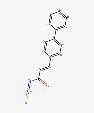 O=C(/C=C/c1ccc(-c2ccccc2)cc1)N=C=S